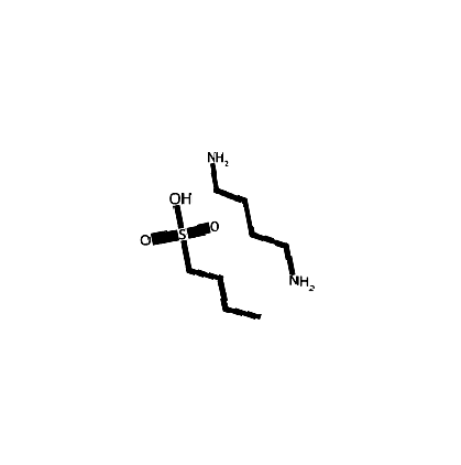 CCCCS(=O)(=O)O.NCCCCN